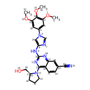 COc1cc(-n2cnc(Nc3nc(N4CCC[C@H]4CO)c4ccc(C#N)cc4n3)c2)cc(OC)c1OC